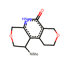 CNC1COCc2[nH]c(=O)c3c(c21)CCOC3